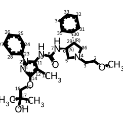 COCCN1C[C@@H](NC(=O)Nc2c(C)c(OCC(C)(C)O)nn2-c2ccccc2)[C@H](c2ccccc2)C1